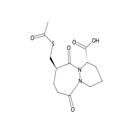 CC(=O)SC[C@@H]1CCC(=O)N2CCC[C@@H](C(=O)O)N2C1=O